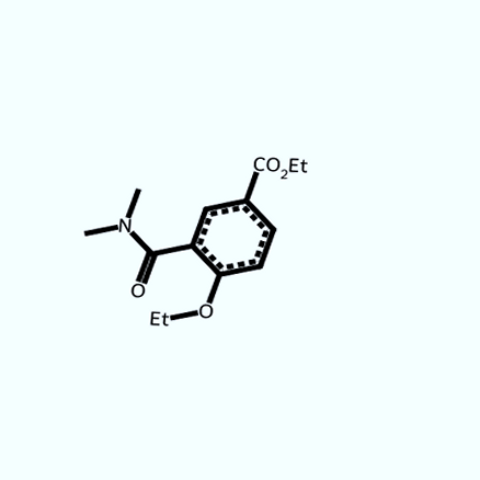 CCOC(=O)c1ccc(OCC)c(C(=O)N(C)C)c1